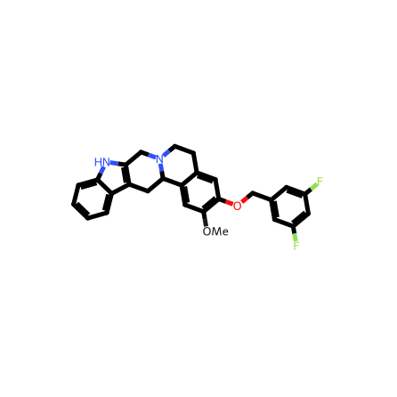 COc1cc2c(cc1OCc1cc(F)cc(F)c1)CCN1Cc3[nH]c4ccccc4c3CC21